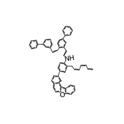 C=C/C=C\C=C/Cc1cc(-c2ccc3ccc4oc5ccccc5c4c3c2)ccc1N/C=C/c1cc(-c2ccccc2)ccc1/C=C\c1cccc(-c2ccccc2)c1